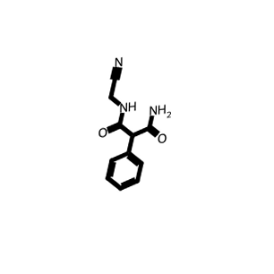 N#CCNC(=O)C(C(N)=O)c1ccccc1